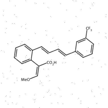 CO/C=C(/C(=O)O)c1ccccc1/C=C/C=C/c1cccc(C(F)(F)F)c1